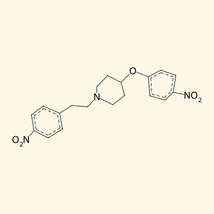 O=[N+]([O-])c1ccc(CCN2CCC(Oc3ccc([N+](=O)[O-])cc3)CC2)cc1